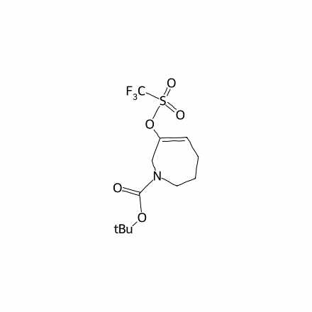 CC(C)(C)OC(=O)N1CCCC=C(OS(=O)(=O)C(F)(F)F)C1